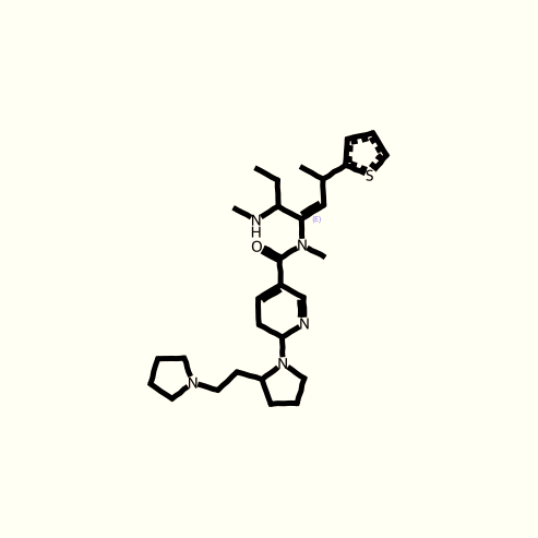 CCC(NC)/C(=C\C(C)c1cccs1)N(C)C(=O)C1=CCC(N2CCCC2CCN2CCCC2)N=C1